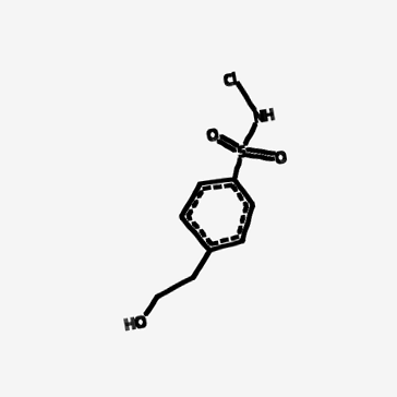 O=S(=O)(NCl)c1ccc(CCO)cc1